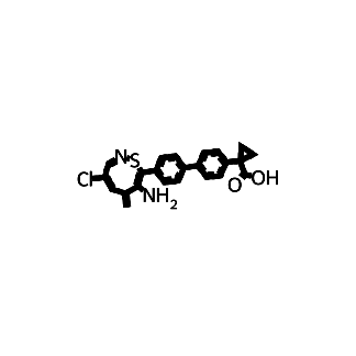 C=C1/C=C(Cl)\C=N/S/C(c2ccc(-c3ccc(C4(C(=O)O)CC4)cc3)cc2)=C\1N